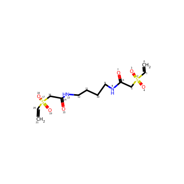 C=CS(=O)(=O)CC(=O)NCCCCNC(=O)CS(=O)(=O)C=C